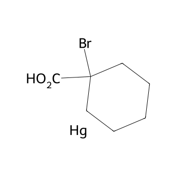 O=C(O)C1(Br)CCCCC1.[Hg]